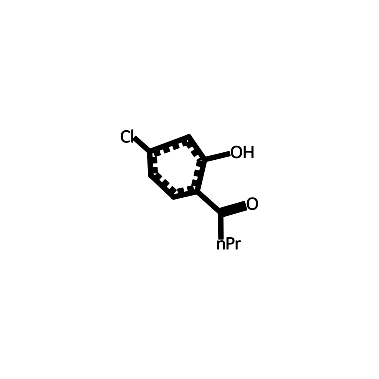 CCCC(=O)c1ccc(Cl)cc1O